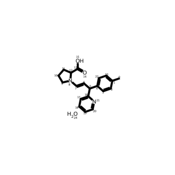 Cc1ccc(C(C=CN2CCCC2C(=O)O)c2ccccn2)cc1.O